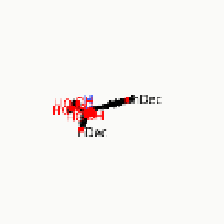 CCCCCCCCCCCCCCCCCCCCCCCCCC(=O)N[C@@H](COC1OC(CO)C(O)=C[C@@H]1O)[C@H](O)[C@H](O)CCCCCCCCCCCCCC